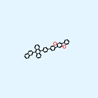 c1ccc2cc(-c3c4ccccc4c(-c4ccc(-c5ccc6c(c5)oc5cc7c(cc56)oc5ccccc57)cc4)c4ccccc34)ccc2c1